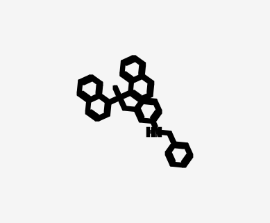 CC(Cc1cccc(NCc2ccccc2)c1)(c1cccc2ccccc12)c1cccc2ccccc12